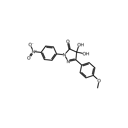 COc1ccc(C2=NN(c3ccc([N+](=O)[O-])cc3)C(=O)C2(O)O)cc1